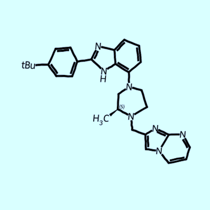 C[C@H]1CN(c2cccc3nc(-c4ccc(C(C)(C)C)cc4)[nH]c23)CCN1Cc1cn2cccnc2n1